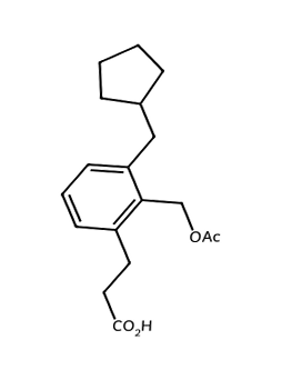 CC(=O)OCc1c(CCC(=O)O)cccc1CC1CCCC1